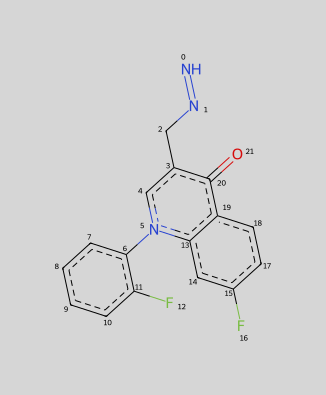 N=NCc1cn(-c2ccccc2F)c2cc(F)ccc2c1=O